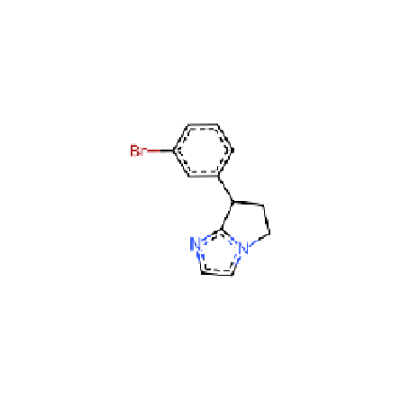 Brc1cccc(C2CCn3ccnc32)c1